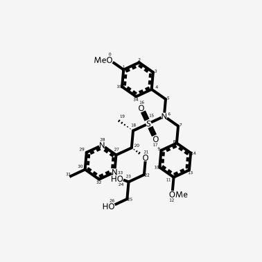 COc1ccc(CN(Cc2ccc(OC)cc2)S(=O)(=O)[C@@H](C)[C@H](OCC(O)CO)c2ncc(C)cn2)cc1